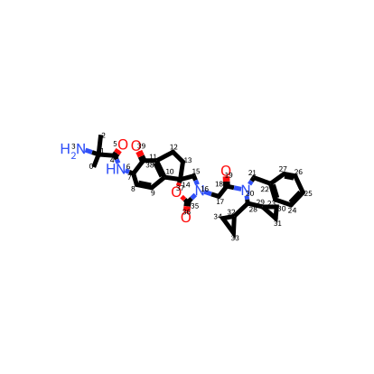 CC(C)(N)C(=O)NC1C=CC2=C(CCC23CN(CC(=O)N(Cc2ccccc2)C(C2CC2)C2CC2)C(=O)O3)C1=O